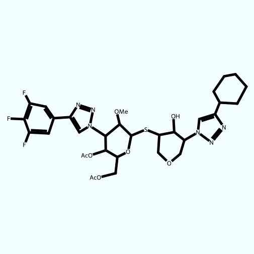 COC1C(SC2COCC(n3cc(C4CCCCC4)nn3)C2O)OC(COC(C)=O)C(OC(C)=O)C1n1cc(-c2cc(F)c(F)c(F)c2)nn1